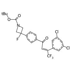 CC(C)(C)OC(=O)N1CC(F)(c2ccc(C(=O)C=C(c3cc(Cl)cc(Cl)c3)C(F)(F)F)cc2)C1